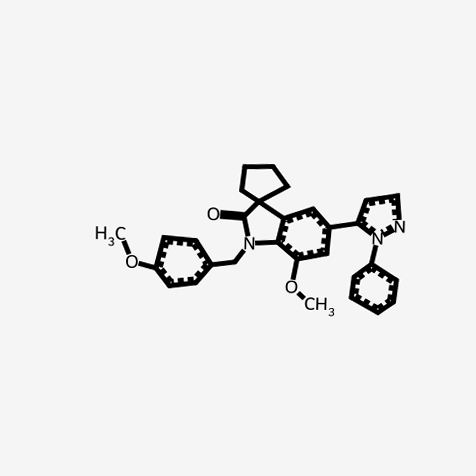 COc1ccc(CN2C(=O)C3(CCCC3)c3cc(-c4ccnn4-c4ccccc4)cc(OC)c32)cc1